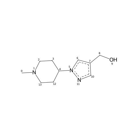 CN1CCC(n2cc(CO)cn2)CC1